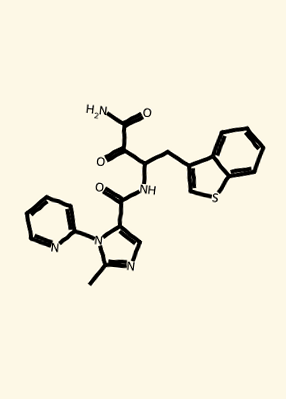 Cc1ncc(C(=O)NC(Cc2csc3ccccc23)C(=O)C(N)=O)n1-c1ccccn1